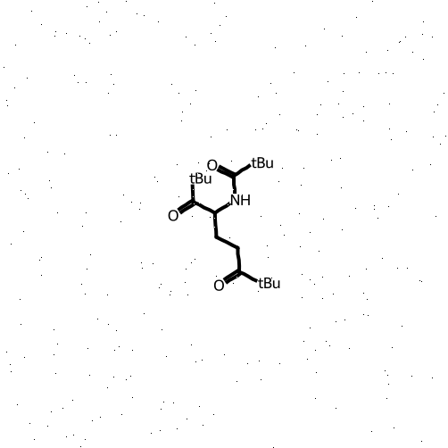 CC(C)(C)C(=O)CCC(NC(=O)C(C)(C)C)C(=O)C(C)(C)C